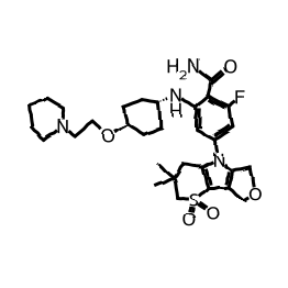 CC1(C)Cc2c(c3c(n2-c2cc(F)c(C(N)=O)c(N[C@H]4CC[C@H](OCCN5CCCCC5)CC4)c2)COC3)S(=O)(=O)C1